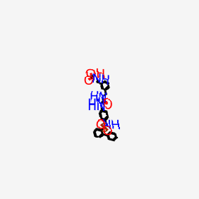 O=C(O)NCc1cccc(CNC(=O)Nc2ccc(NS(=O)(=O)c3ccccc3-c3ccccc3)cc2)c1